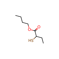 CCCCOC(=O)C(S)CC